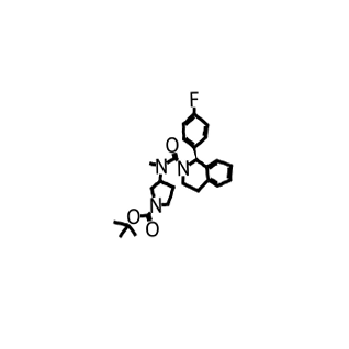 CN(C(=O)N1CCc2ccccc2[C@@H]1c1ccc(F)cc1)C1CCN(C(=O)OC(C)(C)C)C1